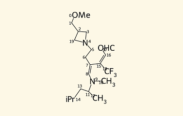 COCC1CN(CCC(=C/N(C)C(C)CC(C)C)/C(=C\C=O)C(F)(F)F)C1